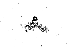 CC(C)C[C@@H](C)N1CC[C@@H](CNC(=O)OC(C)(C)C)N[C@@H](Cc2ccccc2)C1=O